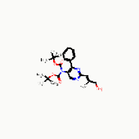 C/C(=C\c1ncc(N(C(=O)OC(C)(C)C)C(=O)OC(C)(C)C)c(-c2ccccc2)n1)CO